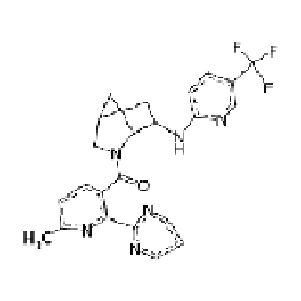 Cc1ccc(C(=O)N2CC3CC34CC(Nc3ccc(C(F)(F)F)cn3)C24)c(-c2ncccn2)n1